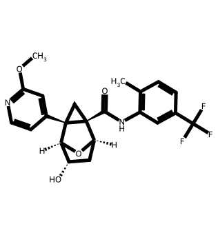 COc1cc([C@@]23C[C@]2(C(=O)Nc2cc(C(F)(F)F)ccc2C)[C@H]2C[C@H](O)[C@@H]3O2)ccn1